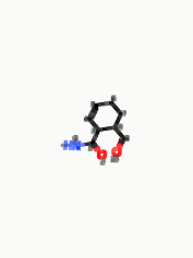 [NH]C(=O)C1C=CCCC1C=O